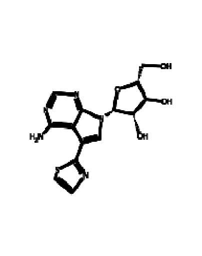 Nc1ncnc2c1c(-c1nccs1)cn2[C@@H]1O[C@H](CO)C(O)[C@@H]1O